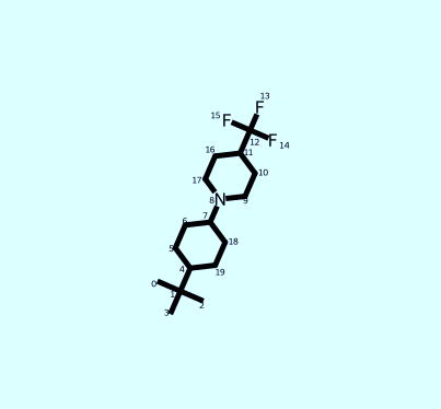 CC(C)(C)C1CCC(N2CCC(C(F)(F)F)CC2)CC1